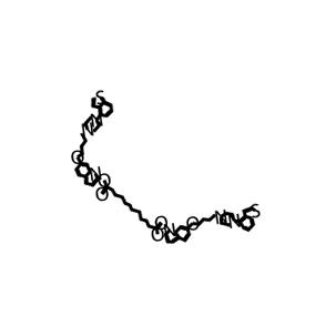 O=C(CCCCCCCCCCC(=O)Oc1ccc2ccc(OCCCCN3CCN(c4cccc5sccc45)CC3)cc2n1)Oc1ccc2ccc(OCCCCN3CCN(c4cccc5sccc45)CC3)cc2n1